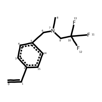 C=Cc1ccc(CN(C)CC(F)(F)F)cc1